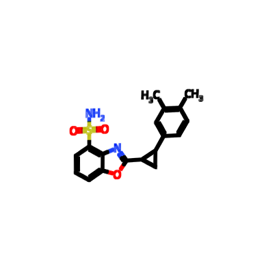 Cc1ccc(C2CC2c2nc3c(S(N)(=O)=O)cccc3o2)cc1C